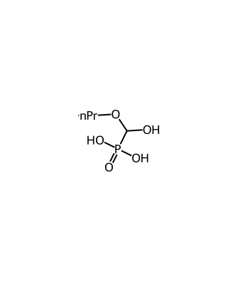 CC[CH]OC(O)P(=O)(O)O